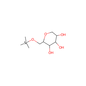 C[Si](C)(C)OCC1OCC(O)C(O)C1O